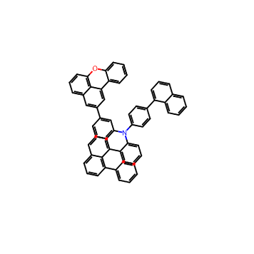 c1ccc(-c2cccc3cccc(-c4ccccc4N(c4ccc(-c5cccc6ccccc56)cc4)c4cccc(-c5cc6c7c(cccc7c5)Oc5ccccc5-6)c4)c23)cc1